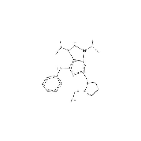 CC(C)N1NN(C(C)C)c2c(Nc3ccccc3)nc(N3CCC[C@@H]3CO)nc21